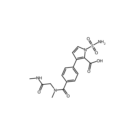 CNC(=O)CN(C)C(=O)c1ccc(-c2ccn(S(N)(=O)=O)c2C(=O)O)cc1